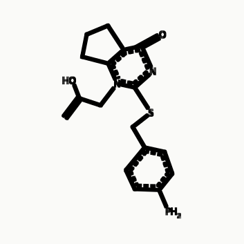 C=C(O)Cn1c(SCc2ccc(P)cc2)nc(=O)c2c1CCC2